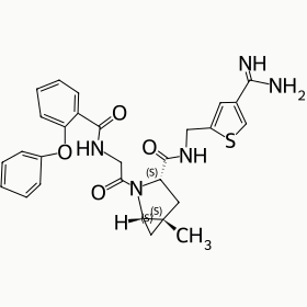 C[C@@]12C[C@@H]1N(C(=O)CNC(=O)c1ccccc1Oc1ccccc1)[C@H](C(=O)NCc1cc(C(=N)N)cs1)C2